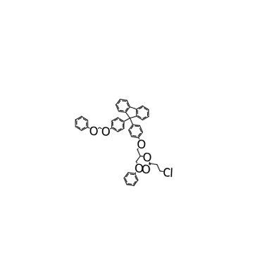 O=C(CCCl)OC(COc1ccccc1)COc1ccc(C2(c3ccc(OCOc4ccccc4)cc3)c3ccccc3-c3ccccc32)cc1